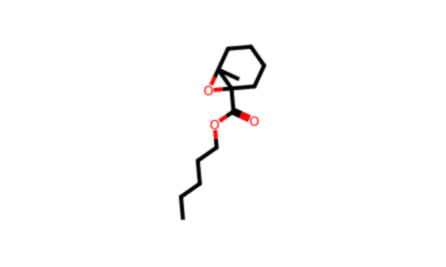 CCCCCOC(=O)C12CCCCC1(C)O2